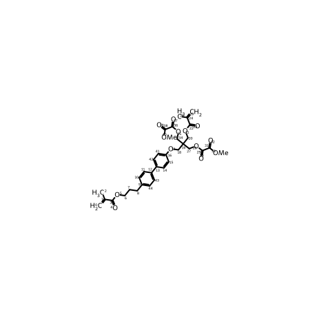 C=C(C)C(=O)OCCCc1ccc(-c2ccc(OCC(COC(=O)C(=C)C)(COC(=O)C(=O)OC)COC(=O)C(=O)OC)cc2)cc1